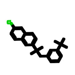 CC(C)(C)c1cccc(CC(C)(C)c2ccc3cc(Cl)ccc3c2)c1